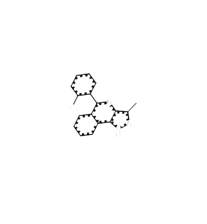 Cc1n[nH]c2c1nc(-c1ccccc1Br)c1ccccc12